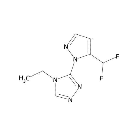 CCn1cnnc1-n1nc[c]c1C(F)F